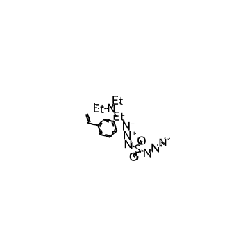 C=Cc1ccccc1.CCN(CC)CC.[N-]=[N+]=NS(=O)(=O)N=[N+]=[N-]